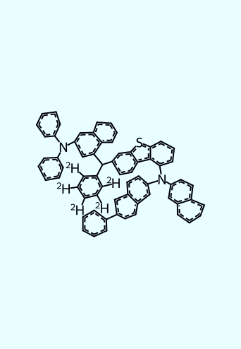 [2H]c1c([2H])c([2H])c(C(c2ccc3c(c2)sc2cccc(N(c4ccc5ccccc5c4)c4ccc5cc(-c6ccccc6)ccc5c4)c23)c2cc(N(c3ccccc3)c3ccccc3)cc3ccccc23)c([2H])c1[2H]